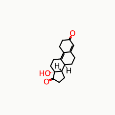 O=C1C=C2CC[C@@H]3C(=C2CC1)CC[C@]1(O)C(=O)CC[C@@H]31